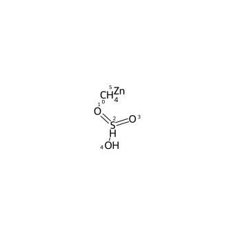 C.O=[SH](=O)O.[Zn]